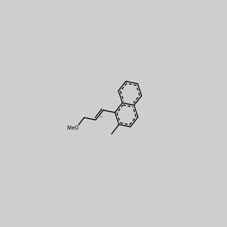 COC/C=C/c1c(C)ccc2ccccc12